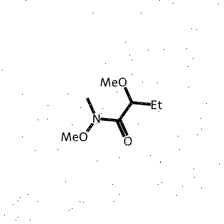 CCC(OC)C(=O)N(C)OC